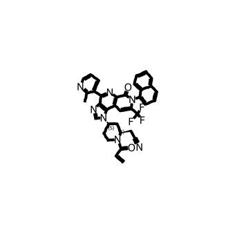 C=CC(=O)N1CC[C@H](n2cnc3c(-c4cccnc4C)nc4c(=O)n(-c5cccc6ccccc56)c(C(F)(F)F)cc4c32)C[C@H]1CC#N